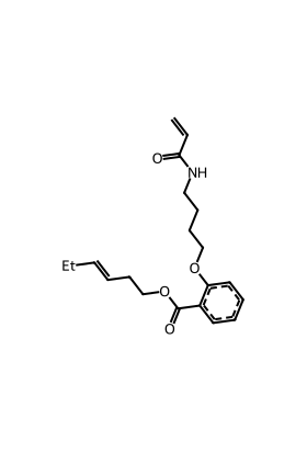 C=CC(=O)NCCCCOc1ccccc1C(=O)OCCC=CCC